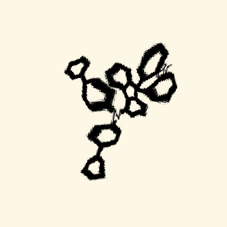 Brc1ccccc1C1(c2ccccc2)c2ccccc2-c2c(N(c3ccc(-c4ccccc4)cc3)c3ccc(-c4ccccc4)cc3)cccc21